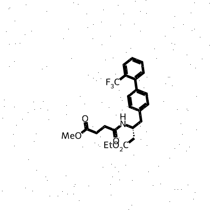 CCOC(=O)C[C@@H](Cc1ccc(-c2ccccc2C(F)(F)F)cc1)NC(=O)CCC(=O)OC